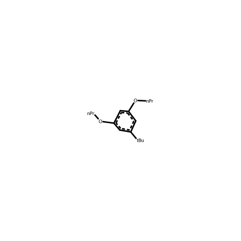 CCCOc1cc(OCCC)cc(C(C)(C)C)c1